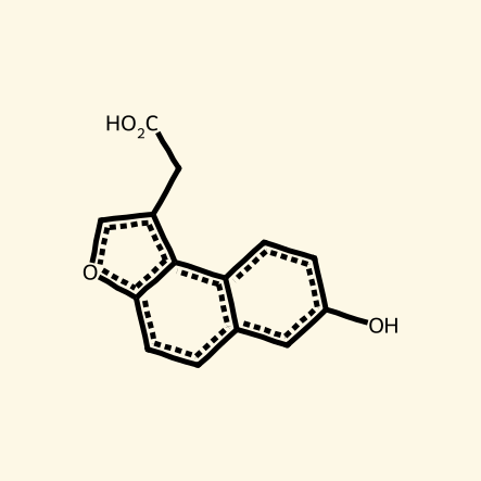 O=C(O)Cc1coc2ccc3cc(O)ccc3c12